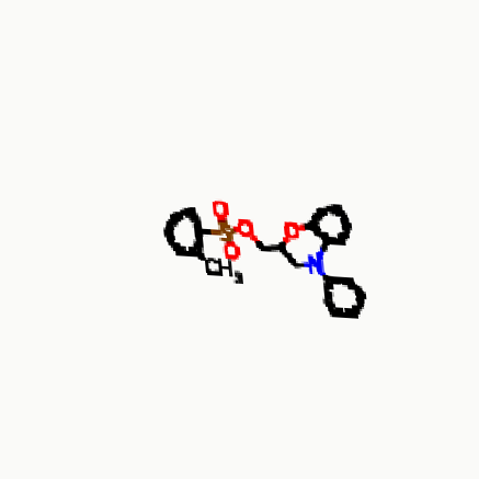 Cc1ccccc1S(=O)(=O)OCC1CN(c2ccccc2)c2ccccc2O1